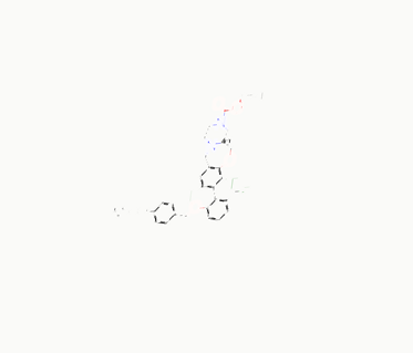 COc1ccc(COc2cccc(C(F)F)c2-c2c(F)cc3c(c2F)OC[C@H]2CN(C(=O)OC(C)(C)C)CCN2C3)cc1